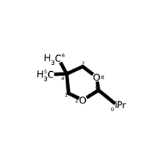 CC(C)C1OCC(C)(C)CO1